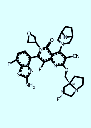 N#Cc1c(OC[C@@]23CCCN2C[C@H](F)C3)nc2c(F)c(-c3ccc(F)c4sc(N)nc34)n(C3COC3)c(=O)c2c1N1CC2CCC(C1)N2